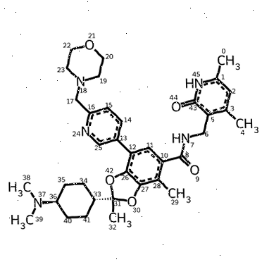 Cc1cc(C)c(CNC(=O)c2cc(-c3ccc(CN4CCOCC4)nc3)c3c(c2C)OC(C)([C@H]2CC[C@H](N(C)C)CC2)O3)c(=O)[nH]1